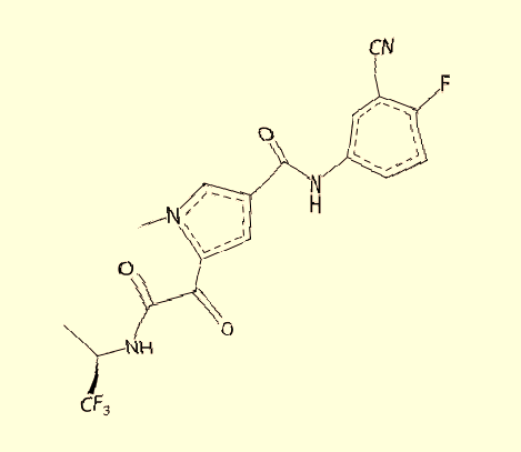 C[C@@H](NC(=O)C(=O)c1cc(C(=O)Nc2ccc(F)c(C#N)c2)cn1C)C(F)(F)F